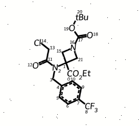 CCOC(=O)C1(N(Cc2ccc(C(F)(F)F)cc2)C(=O)CCl)CN(C(=O)OC(C)(C)C)C1